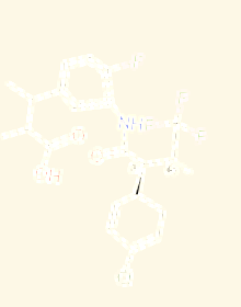 CC(C(=O)O)C(C)c1ccc(F)c(NC(=O)[C@H](C2C=CC(Cl)=CC2)[C@@H](C)C(F)(F)F)c1